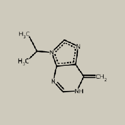 C=C1NC=Nc2c1ncn2C(C)C